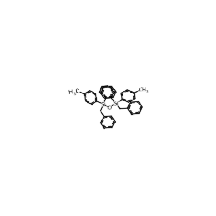 Cc1ccc([Si](Cc2ccccc2)(O[Si](Cc2ccccc2)(c2ccccc2)c2ccc(C)cc2)c2ccccc2)cc1